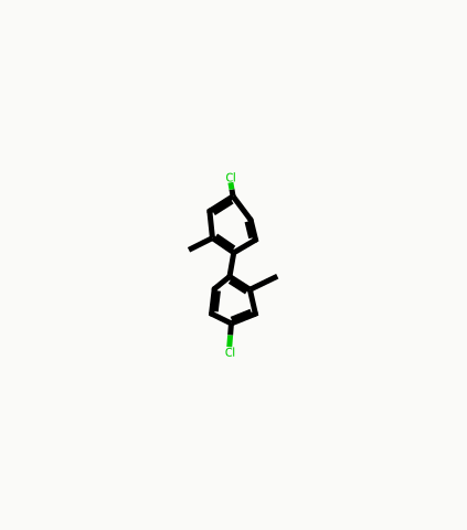 Cc1cc(Cl)ccc1-c1ccc(Cl)cc1C